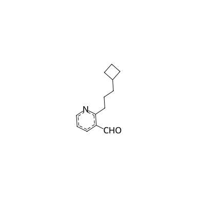 O=Cc1cccnc1CCCC1CCC1